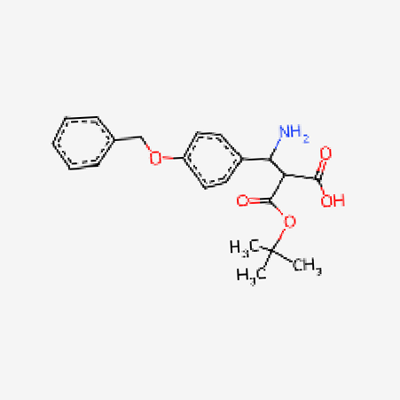 CC(C)(C)OC(=O)C(C(=O)O)C(N)c1ccc(OCc2ccccc2)cc1